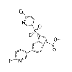 COC(=O)c1cn(S(=O)(=O)c2ccc(Cl)nc2)c2cc(-c3ccc(F)nc3)ccc12